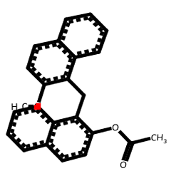 COc1ccc2ccccc2c1Cc1c(OC(C)=O)ccc2ccccc12